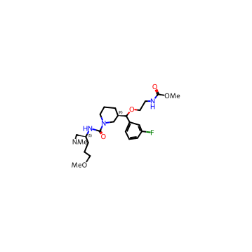 CNC[C@H](CCCOC)NC(=O)N1CCC[C@@H](C(OCCNC(=O)OC)c2cccc(F)c2)C1